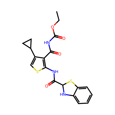 CCOC(=O)NC(=O)c1c(C2CC2)csc1NC(=O)C1Nc2ccccc2S1